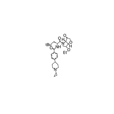 CCO[C@H]1CN(C(=O)[C@H](CC(C)(C)C)NC(=O)c2ccc(C3CCN(C4CC4)CC3)cc2)[C@@H]2C(=O)CO[C@H]12